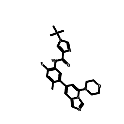 Cc1cc(F)c(NC(=O)c2cn(C(C)(C)C)cn2)cc1-c1cc(N2CCOCC2)n2cncc2c1